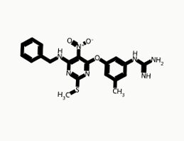 CSc1nc(NCc2ccccc2)c([N+](=O)[O-])c(Oc2cc(C)cc(NC(=N)N)c2)n1